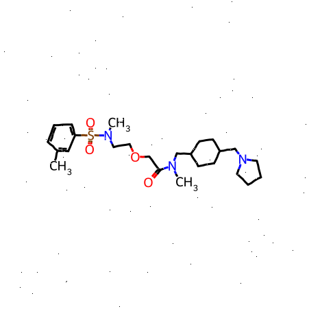 Cc1cccc(S(=O)(=O)N(C)CCOCC(=O)N(C)CC2CCC(CN3CCCC3)CC2)c1